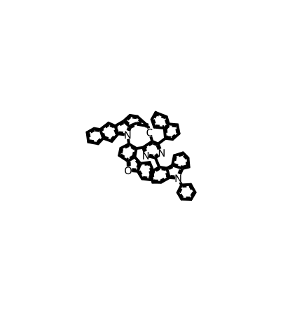 c1ccc(-n2c3ccccc3c3c(-c4nc(-c5cccc6ccccc56)c5c(n4)-c4c(ccc6oc7ccccc7c46)-n4c6cc(ccc6c6cc7ccccc7cc64)C5)cccc32)cc1